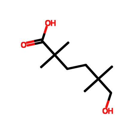 CC(C)(CO)CCC(C)(C)C(=O)O